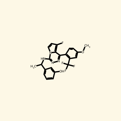 COc1ccc(-c2nnc(NC(C)c3cccc(O)c3)n3ccc(F)c23)c(C(F)(F)F)c1